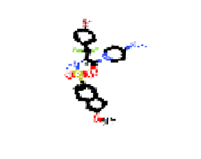 CC(C)Oc1ccc2cc(S(=O)(=O)N[C@@H](C(=O)N3CCC(N)CC3)C(F)(F)c3ccc(Br)cc3)ccc2c1